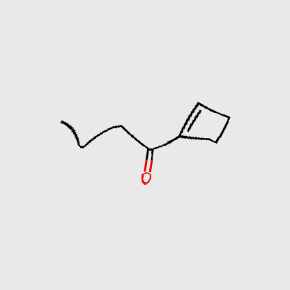 CCCC(=O)C1=CCC1